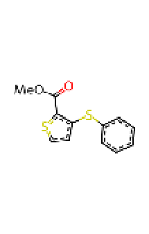 COC(=O)c1sccc1Sc1ccccc1